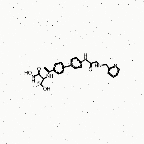 C=C(NC(C(=O)NO)[C@@H](C)O)c1ccc(-c2ccc(NC(=O)CNCc3ccccn3)cc2)cc1